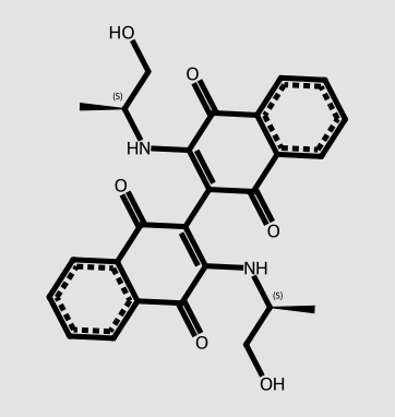 C[C@@H](CO)NC1=C(C2=C(N[C@@H](C)CO)C(=O)c3ccccc3C2=O)C(=O)c2ccccc2C1=O